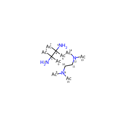 CC(=O)C(N)(C(C)=O)C(N)(C(C)=O)C(C)=O.CC(=O)N(CCN(C(C)=O)C(C)=O)C(C)=O